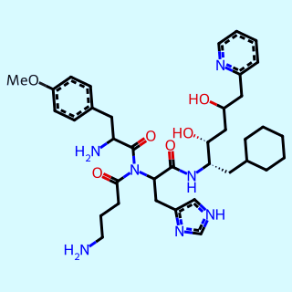 COc1ccc(CC(N)C(=O)N(C(=O)CCCN)C(Cc2c[nH]cn2)C(=O)N[C@@H](CC2CCCCC2)[C@H](O)CC(O)Cc2ccccn2)cc1